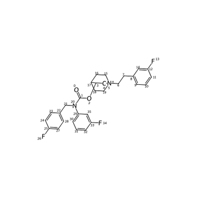 O=C(OC1C[N+]2(CCc3cccc(F)c3)CCC1CC2)N(Cc1ccc(F)cc1)c1cccc(F)c1